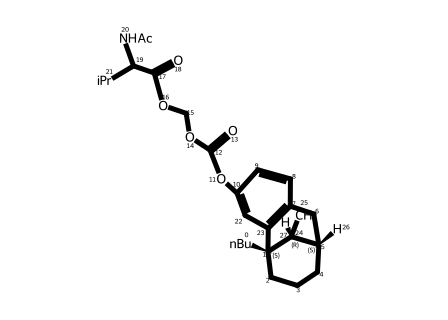 CCCC[C@@]12CCC[C@@H](Cc3ccc(OC(=O)OCOC(=O)C(NC(C)=O)C(C)C)cc31)[C@H]2C